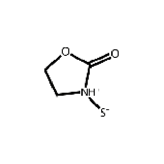 O=C1OCC[NH+]1[S-]